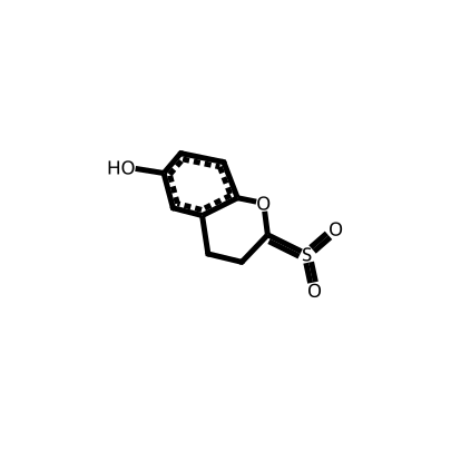 O=S(=O)=C1CCc2cc(O)ccc2O1